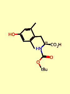 Cc1cc(O)cc(C)c1C[C@H](NC(=O)OC(C)(C)C)C(=O)O